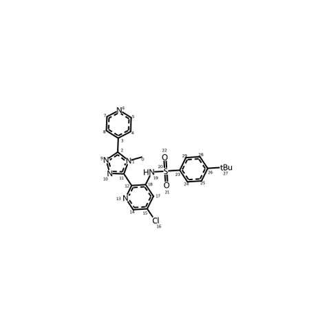 Cn1c(-c2ccncc2)nnc1-c1ncc(Cl)cc1NS(=O)(=O)c1ccc(C(C)(C)C)cc1